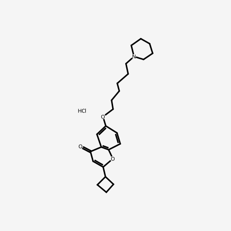 Cl.O=c1cc(C2CCC2)oc2ccc(OCCCCCCN3CCCCC3)cc12